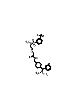 CN(C)C(c1cccc(F)c1)C1CCC(CNC(=O)COCCN(C)S(=O)(=O)c2cccc(C(F)(F)F)c2)CC1